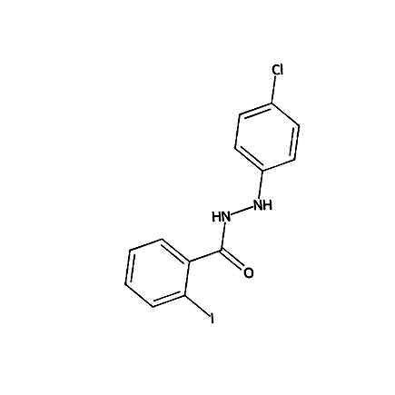 O=C(NNc1ccc(Cl)cc1)c1ccccc1I